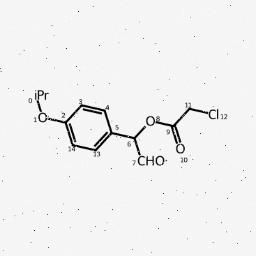 CC(C)Oc1ccc(C([C]=O)OC(=O)CCl)cc1